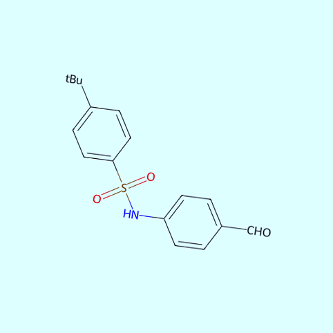 CC(C)(C)c1ccc(S(=O)(=O)Nc2ccc(C=O)cc2)cc1